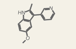 COc1ccc2[nH]c(C)c(-c3cccnc3)c2c1